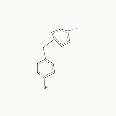 CC(C)c1ccc(Cc2ccc(F)cc2)cc1